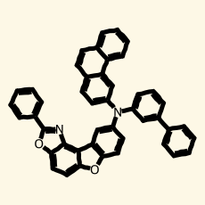 c1ccc(-c2cccc(N(c3ccc4ccc5ccccc5c4c3)c3ccc4oc5ccc6oc(-c7ccccc7)nc6c5c4c3)c2)cc1